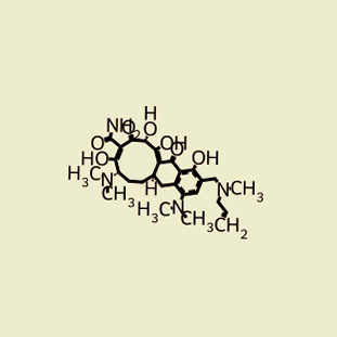 C=CCN(C)Cc1cc(N(C)C)c2c(c1O)C(=O)/C1=C(\O)[C@H](O)C(=O)/C(C(N)=O)=C(/O)[C@@H](N(C)C)CC[C@@H]1C2